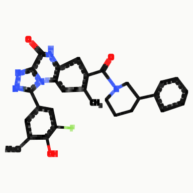 COc1cc(-c2nnc3c(=O)[nH]c4cc(C(=O)N5CCCC(c6ccccc6)C5)c(C)cc4n23)cc(F)c1O